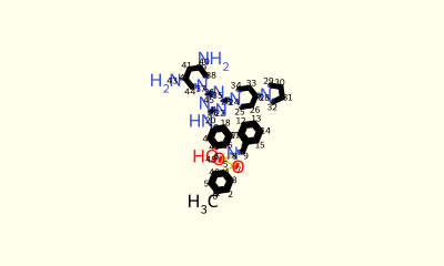 Cc1ccc(S(=O)(=O)N(Cc2ccccc2)c2ccc(Nc3nc(N4CCC(N5CCCC5)CC4)nc(N4C[C@H](N)C[C@H](N)C4)n3)cc2O)cc1